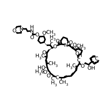 CO[C@@H]1C[C@H](C[C@@H](C)[C@@H]2CC(=O)C(C)/C=C(\C)[C@@H](O)[C@@H](OC)C(=O)[C@H](C)C[C@H](C)/C=C/C=C/C=C(\C)C(OC[C@@H](O)c3ccccc3)C[C@@H]3CC[C@@H](C)[C@@](O)(O3)C(=O)C(=O)N3CCCC[C@H]3C(=O)O2)CC[C@H]1OC(=O)NCCN1CCOCC1